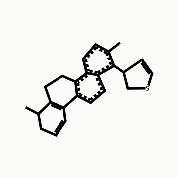 Cc1ccc2c3c(ccc2c1C1C=CSC1)C1=C(CC3)C(C)CC=C1